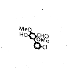 COC1=CC(C=O)(OC)C(c2cccc(Cl)c2)C=C1O